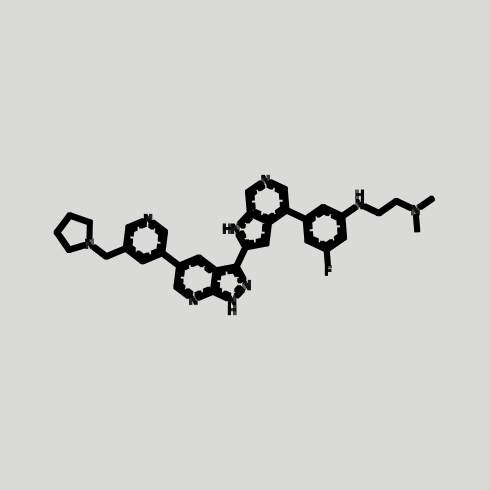 CN(C)CCNc1cc(F)cc(-c2cncc3[nH]c(-c4n[nH]c5ncc(-c6cncc(CN7CCCC7)c6)cc45)cc23)c1